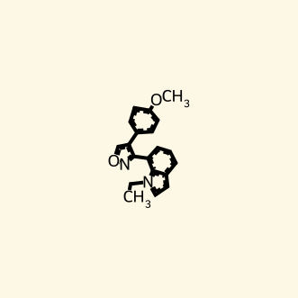 CCn1ccc2cccc(-c3nocc3-c3ccc(OC)cc3)c21